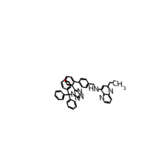 CCc1cc(NCc2ccc(-c3ccccc3-c3nnnn3C(c3ccccc3)(c3ccccc3)c3ccccc3)cc2)c2ncccc2n1